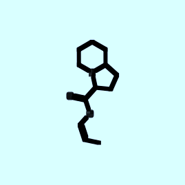 C/C=C\OC(=O)C1CCC2CCCCN21